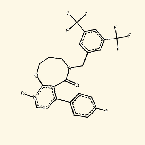 O=C1c2c(-c3ccc(F)cc3)cc[n+]([O-])c2OCCCN1Cc1cc(C(F)(F)F)cc(C(F)(F)F)c1